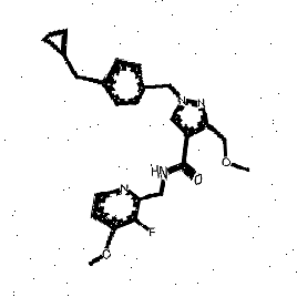 COCc1nn(Cc2ccc(CC3CC3)cc2)cc1C(=O)NCc1nccc(OC)c1F